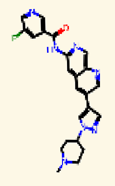 CN1CCC(n2cc(-c3cnc4cnc(NC(=O)c5cncc(F)c5)cc4c3)cn2)CC1